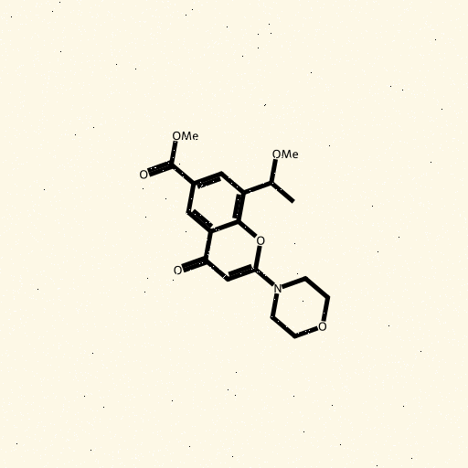 COC(=O)c1cc(C(C)OC)c2oc(N3CCOCC3)cc(=O)c2c1